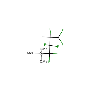 CO[Si](OC)(OC)C(F)(F)C(F)(F)C(C)(F)C(F)F